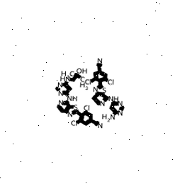 CC(C)(O)CNc1cc(Nc2nccc3nc(-c4c(Cl)cc(C#N)cc4Cl)sc23)ncn1.N#Cc1cc(Cl)c(-c2nc3ccnc(Nc4cc(N)ncn4)c3s2)c(Cl)c1